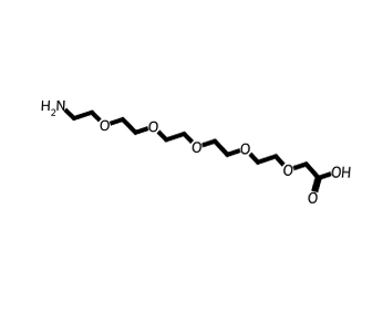 NCCOCCOCCOCCOCCOCC(=O)O